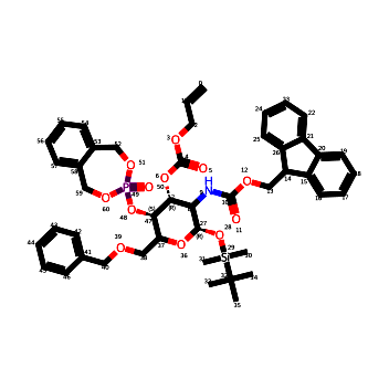 C=CCOC(=O)O[C@@H]1C(NC(=O)OCC2c3ccccc3-c3ccccc32)[C@@H](O[Si](C)(C)C(C)(C)C)OC(COCc2ccccc2)[C@H]1OP1(=O)OCc2ccccc2CO1